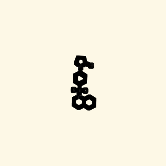 O=C1CCCN1c1ccc(S(=O)(=O)N2CCCC3CCCCC32)cc1